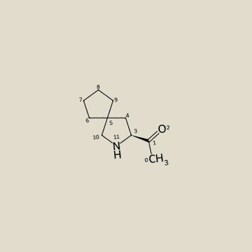 CC(=O)[C@@H]1CC2(CCCC2)CN1